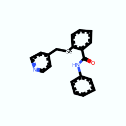 O=C(Nc1ccccc1)c1ccccc1[Se]Cc1ccncc1